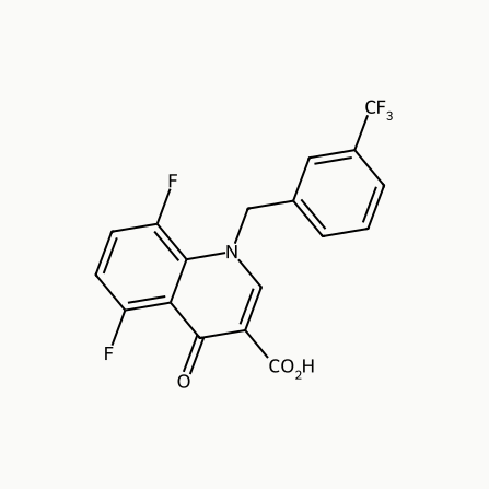 O=C(O)c1cn(Cc2cccc(C(F)(F)F)c2)c2c(F)ccc(F)c2c1=O